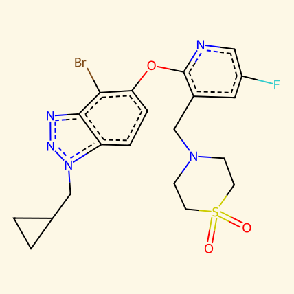 O=S1(=O)CCN(Cc2cc(F)cnc2Oc2ccc3c(nnn3CC3CC3)c2Br)CC1